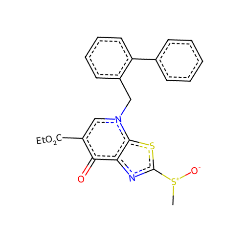 CCOC(=O)c1cn(Cc2ccccc2-c2ccccc2)c2sc([S+](C)[O-])nc2c1=O